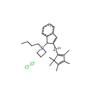 CCCC[Si]1(C2[C]([Zr+2][C]3=C(C)C(C)=C(C)C3(C)C)=Cc3ccccc32)CCC1.[Cl-].[Cl-]